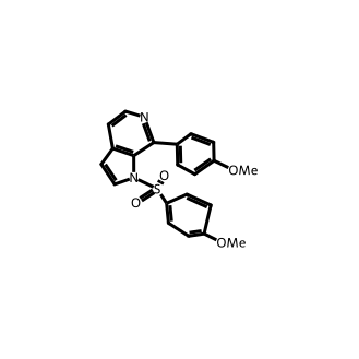 COc1ccc(-c2nccc3ccn(S(=O)(=O)c4ccc(OC)cc4)c23)cc1